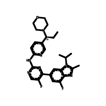 CC[C@@H](c1ccc(Nc2ncc(F)c(-c3cc(F)c4nc(C)n(C(C)C)c4c3)n2)nc1)N1CCOCC1